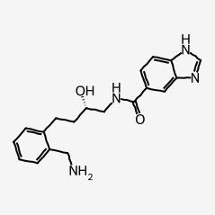 NCc1ccccc1CC[C@H](O)CNC(=O)c1ccc2[nH]cnc2c1